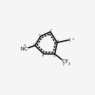 N#Cc1ccc(I)c(C(F)(F)F)c1